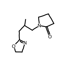 CC(CC1=NCCO1)CN1CCCC1=O